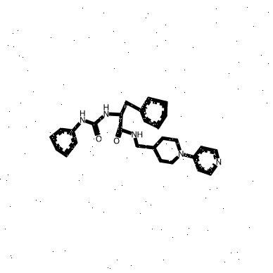 O=C(Nc1ccccc1)NC(Cc1ccccc1)C(=O)NCC1CCN(c2ccncc2)CC1